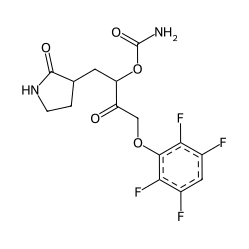 NC(=O)OC(CC1CCNC1=O)C(=O)COc1c(F)c(F)cc(F)c1F